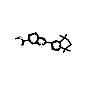 COC(=O)c1ccc2cc(-c3ccc4c(c3)C(C)(C)CCC4(C)C)sc2c1